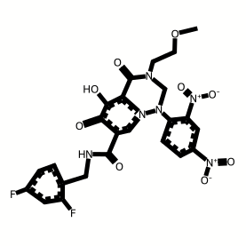 COCCN1CN(c2ccc([N+](=O)[O-])cc2[N+](=O)[O-])n2cc(C(=O)NCc3ccc(F)cc3F)c(=O)c(O)c2C1=O